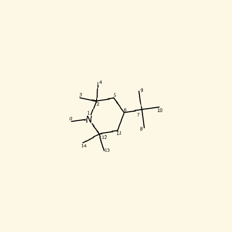 CN1C(C)(C)CC(C(C)(C)C)CC1(C)C